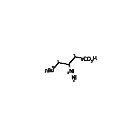 CCCCCCCC(=O)O.[Ni].[Ni]